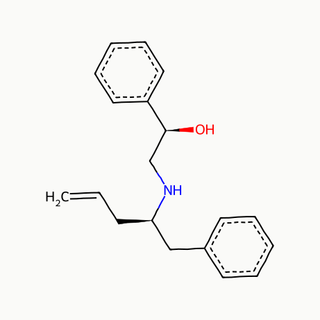 C=CC[C@H](Cc1ccccc1)NC[C@H](O)c1ccccc1